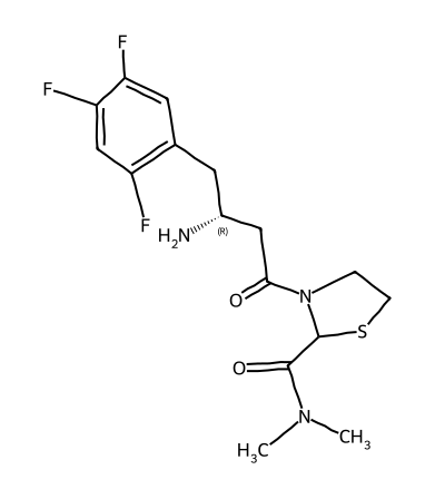 CN(C)C(=O)C1SCCN1C(=O)C[C@H](N)Cc1cc(F)c(F)cc1F